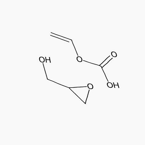 C=COC(=O)O.OCC1CO1